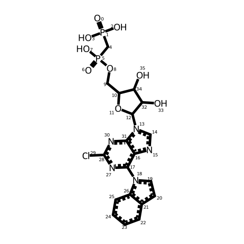 O=P(O)(O)CP(=O)(O)OCC1OC(n2cnc3c(-n4ccc5ccccc54)nc(Cl)nc32)C(O)C1O